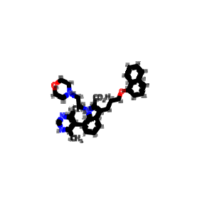 Cc1ncnc(C)c1-c1cccc2c(CCCOc3cccc4ccccc34)c(C(=O)O)n(CCN3CCOCC3)c12